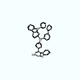 C1=C(c2ccc(N(c3cccc(-c4ccccc4)c3)c3ccc4c5ccccc5n(-c5ccccc5)c4c3)cc2)c2c(sc3ccccc23)CN1